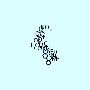 CCCCc1nc(Cl)c(C(=O)O[C@@H](C)C(=O)O[C@H]2CO[C@H]3[C@@H]2OC[C@H]3O[N+](=O)[O-])n1Cc1ccc(-c2ccccc2-c2nnn[nH]2)cc1